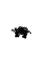 CC1(C)CC2(CC(C)(C)c3cc(-c4cc([N+](=O)[O-])ccc4C(N)=O)c(O)cc32)c2cc(O)c(-c3cc([N+](=O)[O-])ccc3C(N)=O)cc21